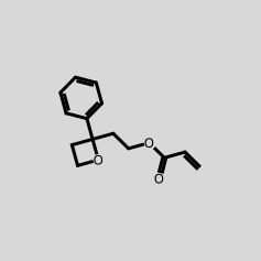 C=CC(=O)OCCC1(c2ccccc2)CCO1